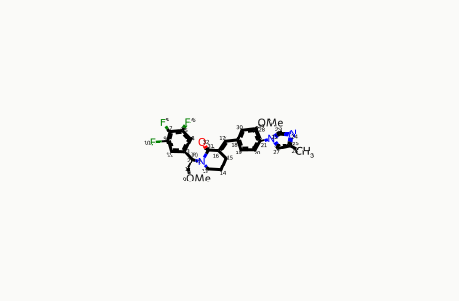 COC[C@@H](c1cc(F)c(F)c(F)c1)N1CCCC(=Cc2ccc(-n3cnc(C)c3)c(OC)c2)C1=O